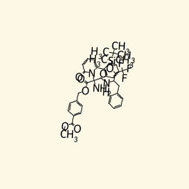 COC(=O)c1ccc(COC(=O)C(N)(C(=O)NC(Cc2ccccc2)C(O[Si](C)(C)C(C)(C)C)C(F)(F)F)n2c(-c3ccccc3)cccc2=O)cc1